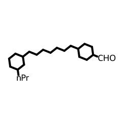 CCCC1CCCC(CCCCCCCC2CCC(C=O)CC2)C1